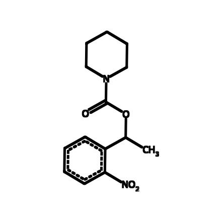 CC(OC(=O)N1CCCCC1)c1ccccc1[N+](=O)[O-]